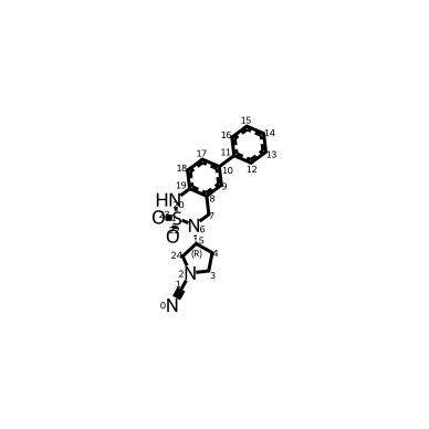 N#CN1CC[C@@H](N2Cc3cc(-c4ccccc4)ccc3NS2(=O)=O)C1